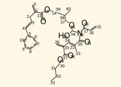 C=C(CC=Cc1ccccc1)C(=O)OC.C=CC(=O)N(C(=O)C(C)=CC(=C)C(=O)OCCCC)C(O)OCC(C)C